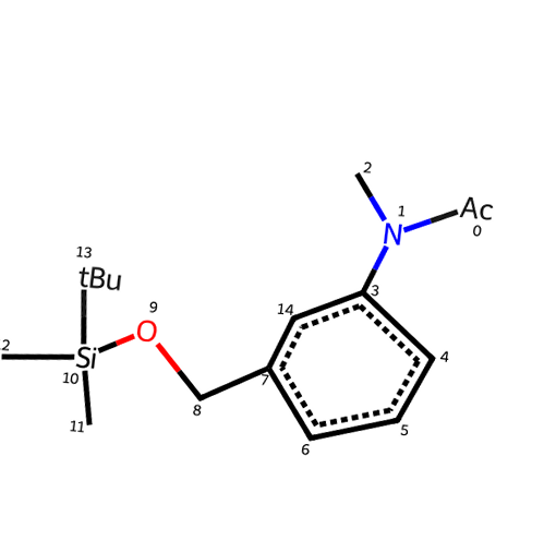 CC(=O)N(C)c1cccc(CO[Si](C)(C)C(C)(C)C)c1